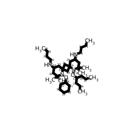 CCCCNC1CC(C)(C)N(OC(CCC)CCC)C2(C1)CC1(CC(NCCCC)CC(C)(C)N1OC1CCCCC1)C2